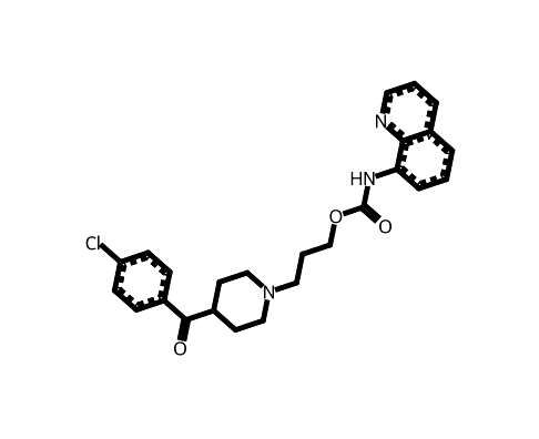 O=C(Nc1cccc2cccnc12)OCCCN1CCC(C(=O)c2ccc(Cl)cc2)CC1